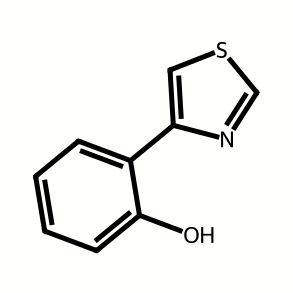 Oc1ccccc1-c1cscn1